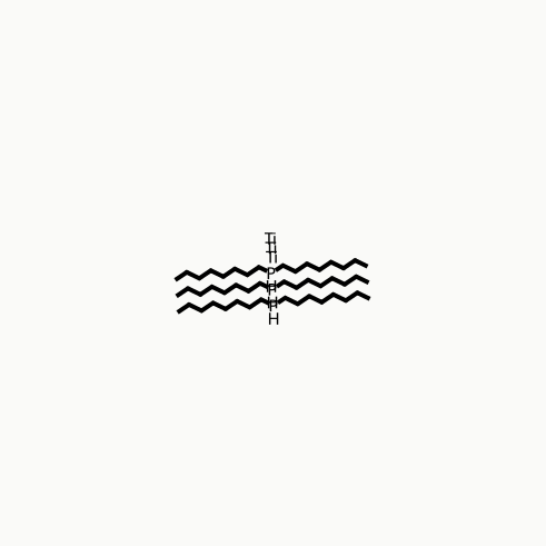 CCCCCCCCPCCCCCCCC.CCCCCCCCPCCCCCCCC.CCCCCCCCPCCCCCCCC.[Ti].[Ti].[Ti]